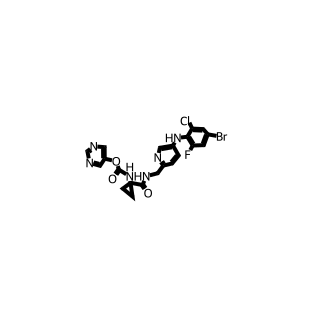 O=C(NC1(C(=O)NCc2ccc(Nc3c(F)cc(Br)cc3Cl)cn2)CC1)Oc1cncnc1